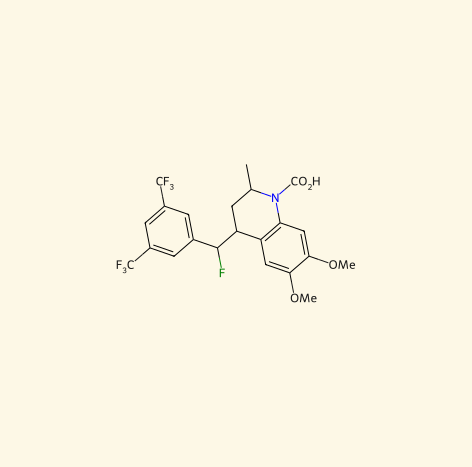 COc1cc2c(cc1OC)N(C(=O)O)C(C)CC2C(F)c1cc(C(F)(F)F)cc(C(F)(F)F)c1